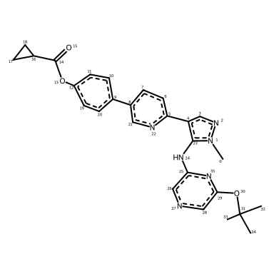 Cn1ncc(-c2ccc(-c3ccc(OC(=O)C4CC4)cc3)cn2)c1Nc1cncc(OC(C)(C)C)n1